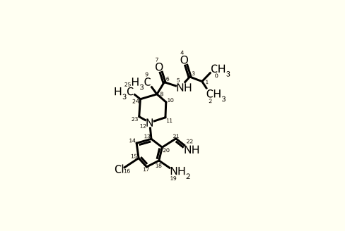 CC(C)C(=O)NC(=O)C1(C)CCN(c2cc(Cl)cc(N)c2C=N)CC1C